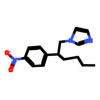 CCCCC(Cn1ccnc1)c1ccc([N+](=O)[O-])cc1